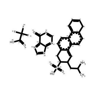 CC(N)CC1C=c2c(ccc3c4c(ccc23)CC=CC=4)CC1S(=O)(=O)O.O=C(O)C(F)(F)F.O=C1N=CN=C2N=CN=C12